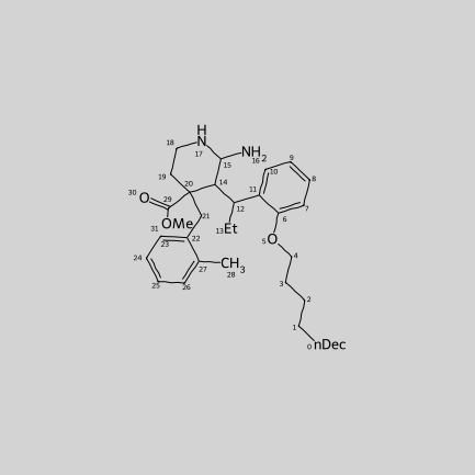 CCCCCCCCCCCCCCOc1ccccc1C(CC)C1C(N)NCCC1(Cc1ccccc1C)C(=O)OC